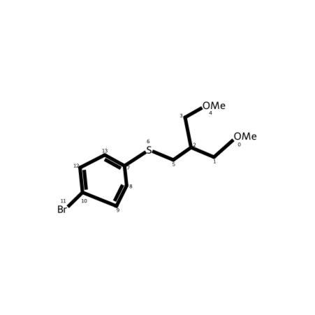 COCC(COC)CSc1ccc(Br)cc1